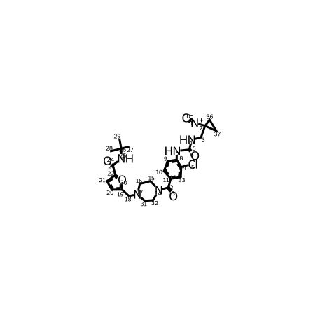 [C-]#[N+]C1(CNC(=O)Nc2ccc(C(=O)N3CCN(Cc4ccc(C(=O)NC(C)(C)C)o4)CC3)cc2Cl)CC1